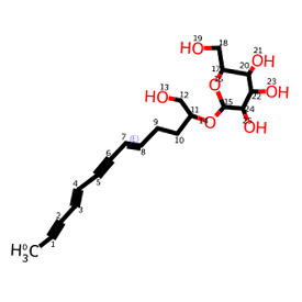 CC#CC#CC#C/C=C/CCC(CO)OC1OC(CO)C(O)C(O)C1O